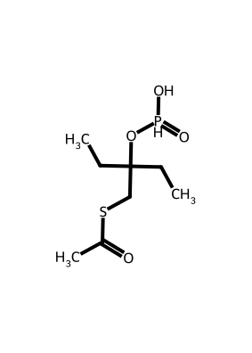 CCC(CC)(CSC(C)=O)O[PH](=O)O